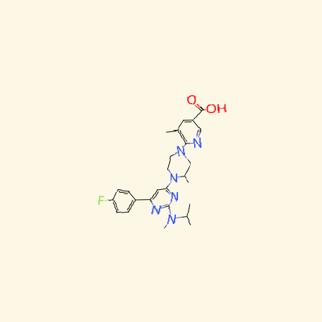 Cc1cc(C(=O)O)cnc1N1CCN(c2cc(-c3ccc(F)cc3)nc(N(C)C(C)C)n2)C(C)C1